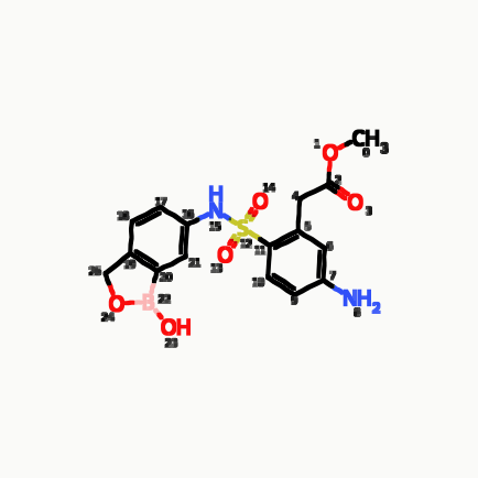 COC(=O)Cc1cc(N)ccc1S(=O)(=O)Nc1ccc2c(c1)B(O)OC2